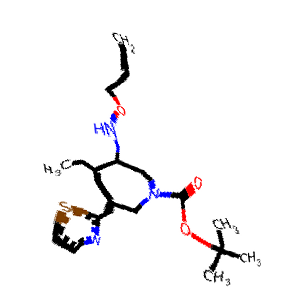 C=CCONC1CN(C(=O)OC(C)(C)C)CC(c2nccs2)=C1C